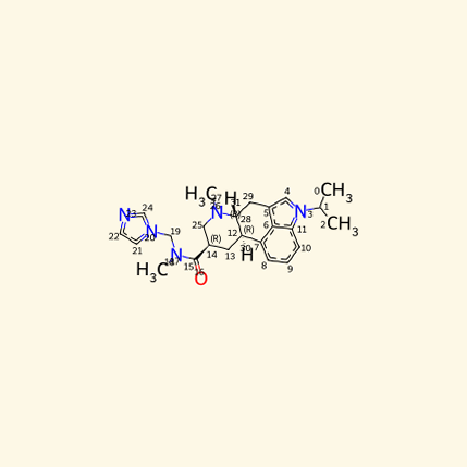 CC(C)n1cc2c3c(cccc31)[C@H]1C[C@@H](C(=O)N(C)Cn3ccnc3)CN(C)[C@@H]1C2